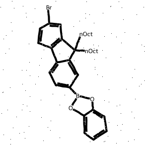 CCCCCCCCC1(CCCCCCCC)c2cc(Br)ccc2-c2ccc(B3Oc4ccccc4O3)cc21